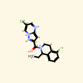 CCC1c2cccc(F)c2CCN1C(=O)c1cc2ncc(Cl)cn2n1